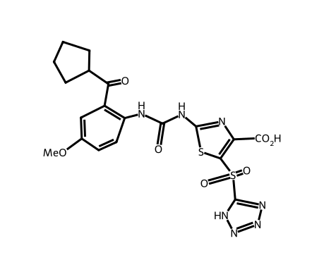 COc1ccc(NC(=O)Nc2nc(C(=O)O)c(S(=O)(=O)c3nnn[nH]3)s2)c(C(=O)C2CCCC2)c1